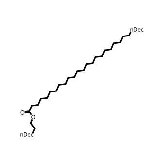 CCCCCCCCCCCCCCCCCCCCCCCCCCCCCCCCC(=O)OCCCCCCCCCCCC